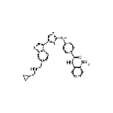 Nc1ccccc1NC(=O)c1ccc(Nc2nc(-c3cnc4cc(CNCC5CC5)ccn34)cs2)cc1